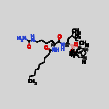 CCCCCCCCCC(=O)N[C@@H](CCCCNC(N)=O)C(=O)N[C@@H](CC(C)C)B1O[C@@H]2C[C@@H]3C[C@@H](C3(C)C)[C@]2(C)O1